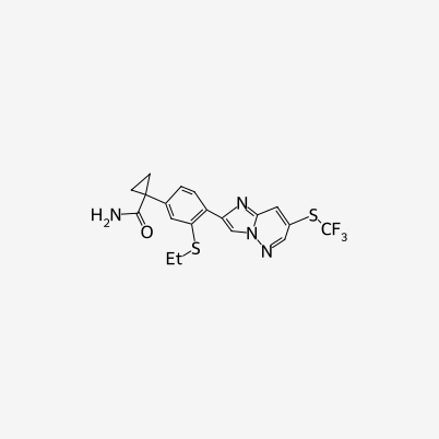 CCSc1cc(C2(C(N)=O)CC2)ccc1-c1cn2ncc(SC(F)(F)F)cc2n1